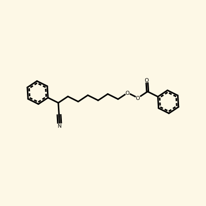 N#CC(CCCCCCOOC(=O)c1ccccc1)c1ccccc1